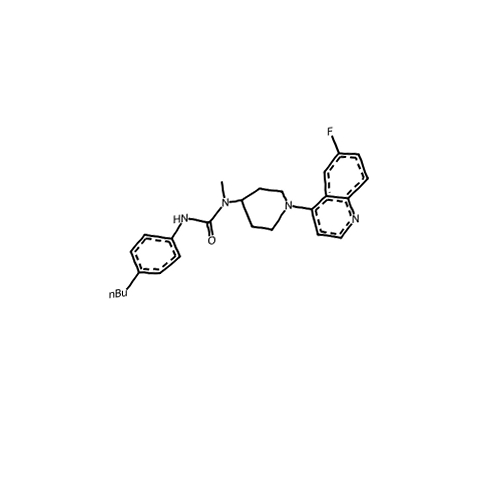 CCCCc1ccc(NC(=O)N(C)C2CCN(c3ccnc4ccc(F)cc34)CC2)cc1